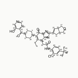 CCc1c(N2CCN(C(=O)c3ncncc3O)CC2)c(=O)n2nc(C3=CC4COCC4C3)nc2n1CC(=O)Nc1ccc(C(F)(F)F)cc1Cl